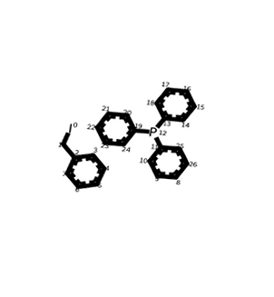 ICc1ccccc1.c1ccc(P(c2ccccc2)c2ccccc2)cc1